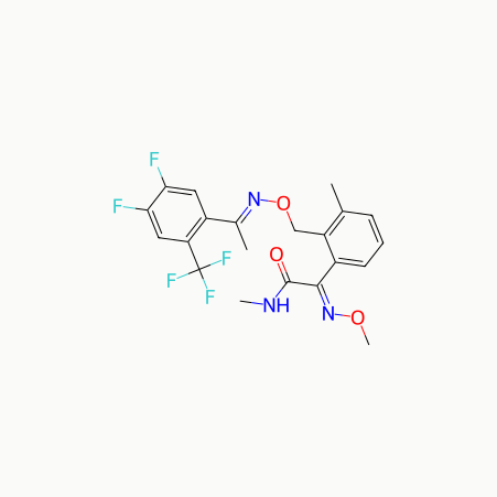 CNC(=O)/C(=N/OC)c1cccc(C)c1CO/N=C(\C)c1cc(F)c(F)cc1C(F)(F)F